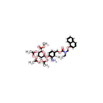 CCN(COc1cccc2ccccc12)C(=O)OCc1ccc(OC2O[C@H](C(=O)OC)[C@@H](OC(C)=O)[C@H](OC(C)=O)[C@H]2OC(C)=O)c(N)c1